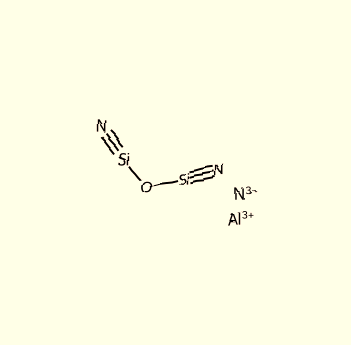 N#[Si]O[Si]#N.[Al+3].[N-3]